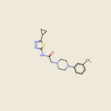 O=C(CN1CCN(c2cccc(C(F)(F)F)c2)CC1)Nc1nnc(C2CC2)s1